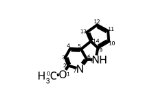 COc1ccc2c(n1)[nH]c1ccccc12